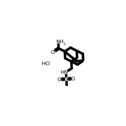 CS(=O)(=O)NCC12CC3[CH]C(C(N)=O)(CC(C3)C1)C2.Cl